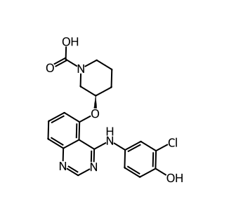 O=C(O)N1CCC[C@@H](Oc2cccc3ncnc(Nc4ccc(O)c(Cl)c4)c23)C1